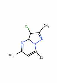 CCC1=CC(C(=O)O)=NC2C(Cl)C(C)=NN12